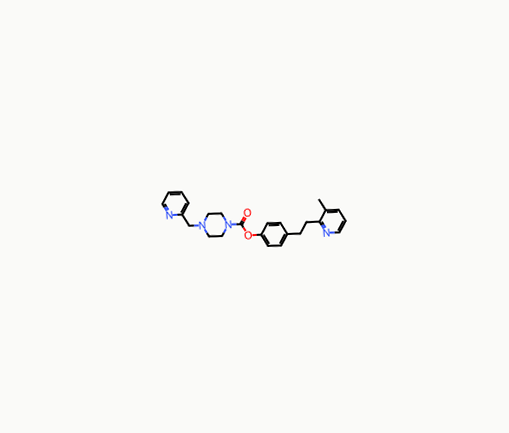 Cc1cccnc1CCc1ccc(OC(=O)N2CCN(Cc3ccccn3)CC2)cc1